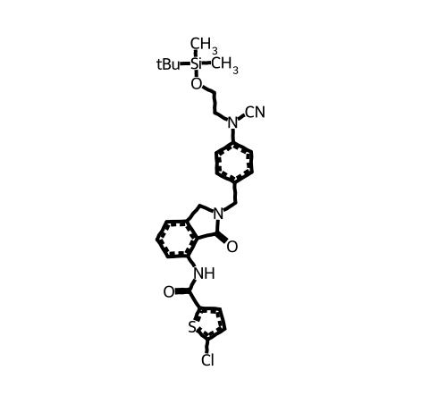 CC(C)(C)[Si](C)(C)OCCN(C#N)c1ccc(CN2Cc3cccc(NC(=O)c4ccc(Cl)s4)c3C2=O)cc1